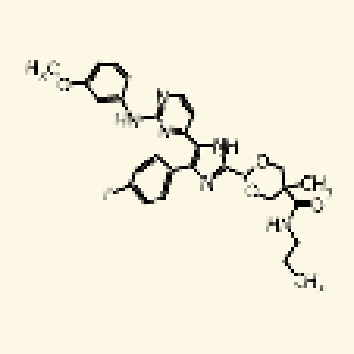 CCCNC(=O)C1(C)COC(c2nc(-c3ccc(F)cc3)c(-c3ccnc(Nc4cccc(OC)c4)n3)[nH]2)OC1